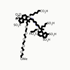 COCCOCCOCCOCCOCCOCCC1(C)\C(=C/C=C/C=C/C2=[N+](CCCS(=O)(=O)O)c3ccc4c(S(=O)(=O)O)cc(S(=O)(=O)O)cc4c3C2(C)CCCS(=O)(=O)O)N(CCCCCC(=O)O)c2ccc3c(S(=O)(=O)[O-])cc(S(=O)(=O)O)cc3c21